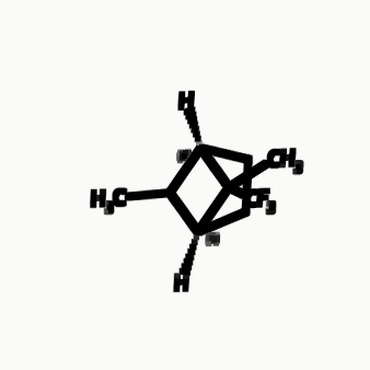 CC1[C@H]2CC[C@@H]1C2(C)C(F)(F)F